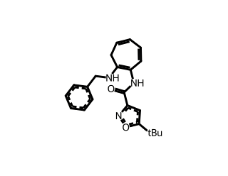 CC(C)(C)c1cc(C(=O)NC2=C(NCc3ccccc3)CC=CC=C2)no1